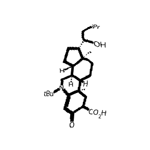 CC(C)CC(O)[C@H]1CC[C@H]2[C@@H]3CN(C(C)(C)C)C4=CC(=O)C(C(=O)O)C[C@]4(C)[C@H]3CC[C@]12C